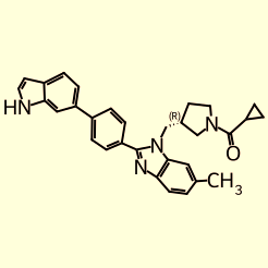 Cc1ccc2nc(-c3ccc(-c4ccc5cc[nH]c5c4)cc3)n(C[C@@H]3CCN(C(=O)C4CC4)C3)c2c1